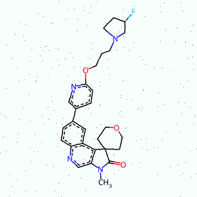 CN1C(=O)C2(CCOCC2)c2c1cnc1ccc(-c3ccc(OCCCN4CC[C@@H](F)C4)nc3)cc21